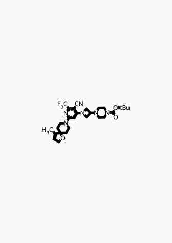 CC1=CCOC12CCN(c1cc(N3CC(N4CCN(C(=O)OC(C)(C)C)CC4)C3)c(C#N)c(C(F)(F)F)n1)CC2